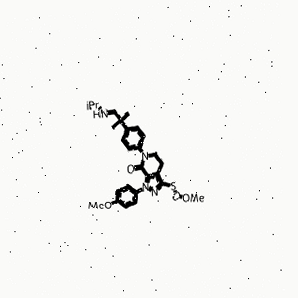 COOSc1nn(-c2ccc(OC)cc2)c2c1CCN(c1ccc(C(C)(C)CNC(C)C)cc1)C2=O